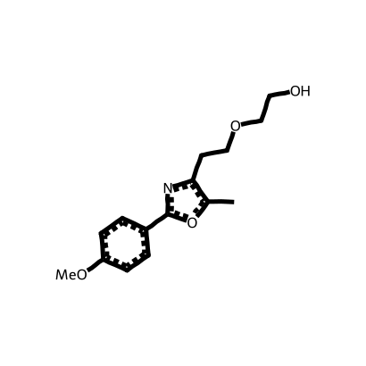 COc1ccc(-c2nc(CCOCCO)c(C)o2)cc1